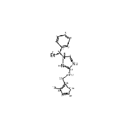 CCC(c1ccccc1)n1cnc(SCc2sccc2C)n1